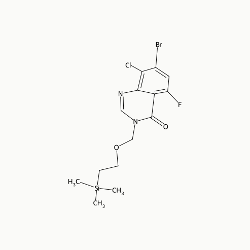 C[Si](C)(C)CCOCn1cnc2c(Cl)c(Br)cc(F)c2c1=O